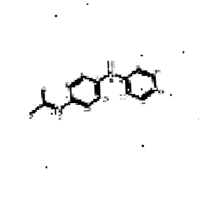 CC(C)=Nc1ccc(Nc2ccccc2)cc1